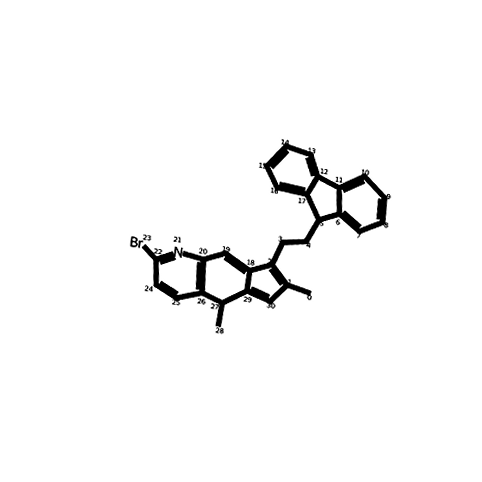 CC1=C(CCC2c3ccccc3-c3ccccc32)C2=Cc3nc(Br)ccc3C(C)C2=C1